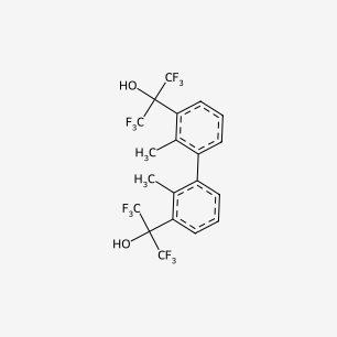 Cc1c(-c2cccc(C(O)(C(F)(F)F)C(F)(F)F)c2C)cccc1C(O)(C(F)(F)F)C(F)(F)F